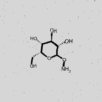 NOC1O[C@H](CO)[C@H](O)[C@@H](O)[C@@H]1O